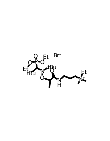 CCOP(=O)(OCC)C(N(OC(C)C(=O)NCCC[N+](C)(C)CC)C(C)(C)C)C(C)(C)C.[Br-]